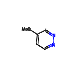 COc1[c]nncc1